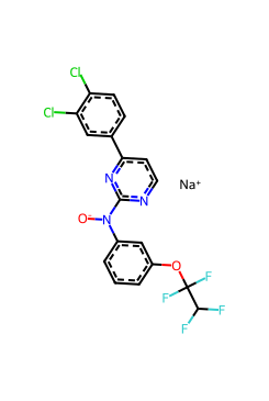 [Na+].[O-]N(c1cccc(OC(F)(F)C(F)F)c1)c1nccc(-c2ccc(Cl)c(Cl)c2)n1